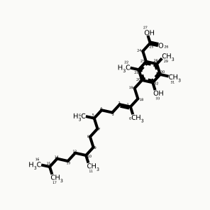 CC(=CCCC(C)CCCC(C)CCCC(C)C)CCc1c(C)c(CC(=O)O)c(C)c(C)c1O